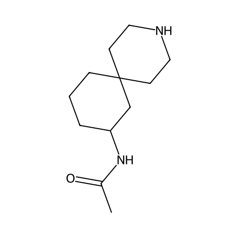 CC(=O)NC1CCCC2(CCNCC2)C1